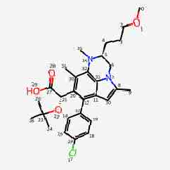 COCCC[C@H]1Cn2c(C)cc3c(-c4ccc(Cl)cc4)c([C@H](OC(C)(C)C)C(=O)O)c(C)c(c32)N1C